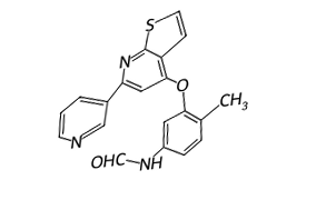 Cc1ccc(NC=O)cc1Oc1cc(-c2cccnc2)nc2sccc12